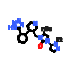 CCCCc1cn(-c2ccnn2CC)c(=O)n1Cc1cnccc1-c1ccccc1-c1nnn[nH]1